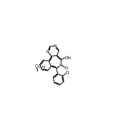 CC(=O)O.OC1=c2cncnc2=c2ccccc2=C(c2ccccc2Cl)N1Cl